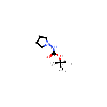 CC(C)(C)OC(=O)NN1CCCC1